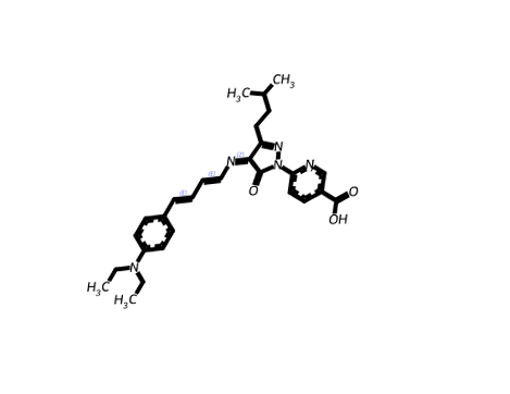 CCN(CC)c1ccc(/C=C/C=C/N=C2\C(=O)N(c3ccc(C(=O)O)cn3)N=C2CCC(C)C)cc1